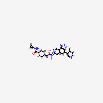 Cc1ccncc1-c1cc(N)c2cnc(NC(=O)C=C3CCC(C(=O)NC4CC4)CC3)cc2c1